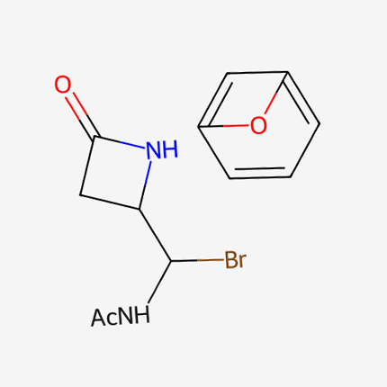 CC(=O)NC(Br)C1CC(=O)N1.c1cc2cc(c1)O2